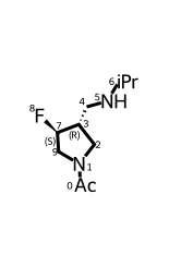 CC(=O)N1C[C@@H](CNC(C)C)[C@H](F)C1